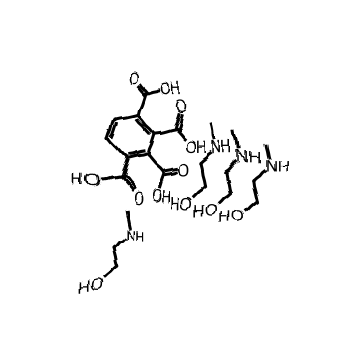 CNCCO.CNCCO.CNCCO.CNCCO.O=C(O)c1ccc(C(=O)O)c(C(=O)O)c1C(=O)O